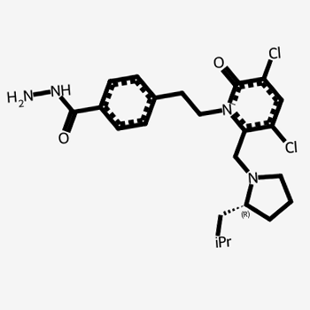 CC(C)C[C@H]1CCCN1Cc1c(Cl)cc(Cl)c(=O)n1CCc1ccc(C(=O)NN)cc1